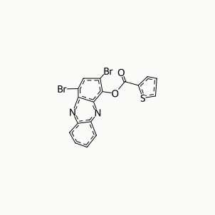 O=C(Oc1c(Br)cc(Br)c2nc3ccccc3nc12)c1cccs1